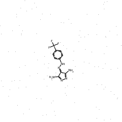 NC1=NN=C(N)C1=NNc1ccc(C(F)(F)F)cc1